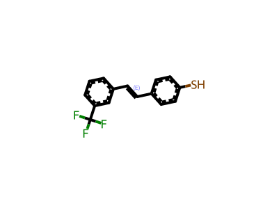 FC(F)(F)c1cccc(/C=C/c2ccc(S)cc2)c1